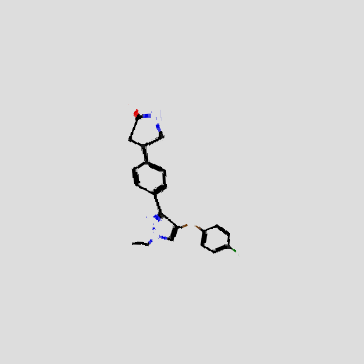 CCn1cc(Sc2ccc(Cl)cc2)c(-c2ccc(C3CNC(=O)C3)cc2)n1